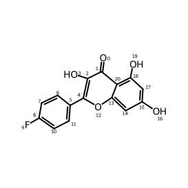 O=c1c(O)c(-c2ccc(F)cc2)oc2cc(O)cc(O)c12